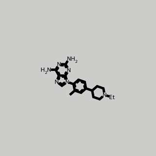 CCN1CCC(c2ccc(-n3cnc4c(N)nc(N)nc43)c(C)c2)CC1